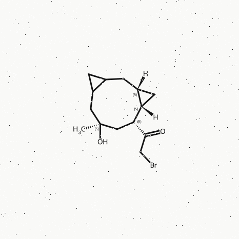 C[C@]1(O)CC2CC2C[C@@H]2C[C@@H]2[C@H](C(=O)CBr)C1